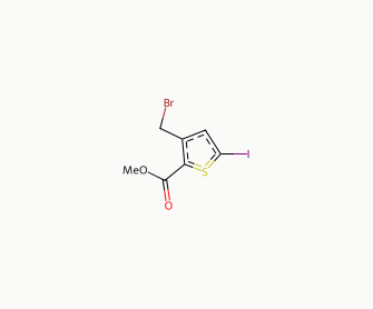 COC(=O)c1sc(I)cc1CBr